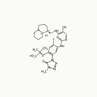 Cn1nnn(-c2cc(Nc3ncc(C#N)c(NC[C@@H]4CCCN5CCCC[C@H]45)n3)c(F)cc2OC(C)(C)C(=O)O)c1=O